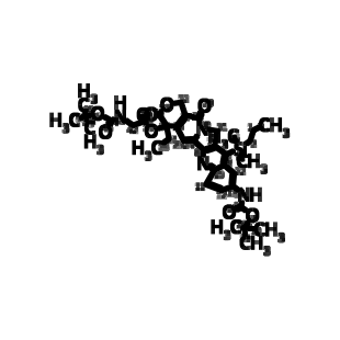 CCC[Si](C)(C)c1c2c(nc3ccc(NC(=O)OC(C)(C)C)cc13)-c1cc3c(c(=O)n1C2)COC(=O)C3(CC)OC(=O)CNC(=O)OC(C)(C)C